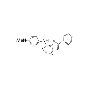 CNc1ccc(Nc2ncnc3cc(-c4ccccc4)sc23)cc1